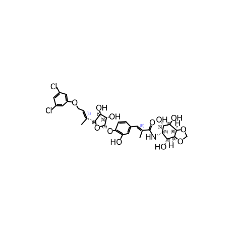 C/C(=C\c1ccc(O[C@@H]2O[C@H](/C(C)=C/COc3cc(Cl)cc(Cl)c3)[C@@H](O)[C@@H]2O)c(O)c1)C(=O)N[C@@H]1[C@H](O)[C@@H](O)[C@H]2OCO[C@H]2[C@@H]1O